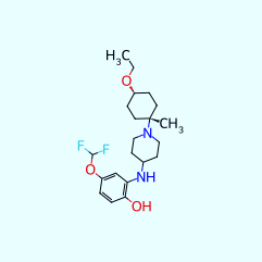 CCO[C@H]1CC[C@](C)(N2CCC(Nc3cc(OC(F)F)ccc3O)CC2)CC1